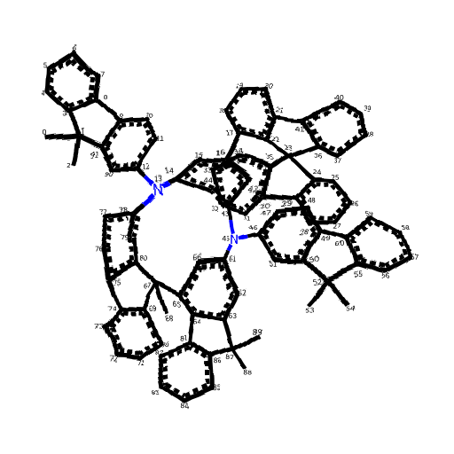 CC1(C)c2ccccc2-c2ccc(N3c4cc(-c5cccc6c5C5(c7ccccc7-c7ccccc75)c5ccccc5-6)cc(c4)N(c4ccc5c(c4)C(C)(C)c4ccccc4-5)c4cc5c(c(c4)C4(C)c6ccccc6-c6ccc3cc64)-c3ccccc3C5(C)C)cc21